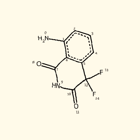 Nc1cccc2c1C(=O)NC(=O)C2(F)F